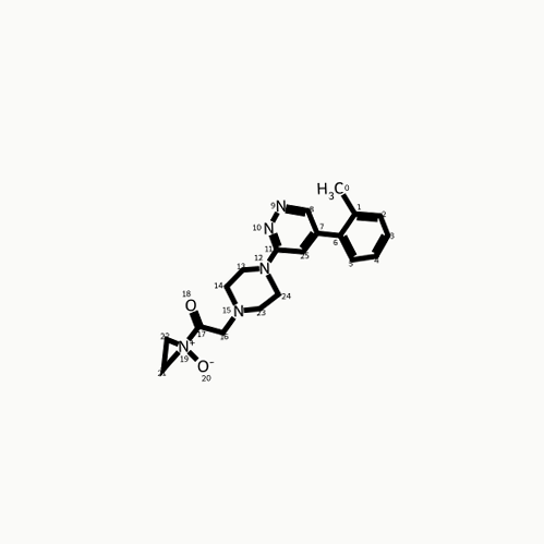 Cc1ccccc1-c1cnnc(N2CCN(CC(=O)[N+]3([O-])CC3)CC2)c1